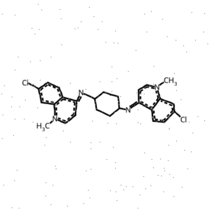 Cn1cc/c(=N\C2CCC(/N=c3\ccn(C)c4cc(Cl)ccc34)CC2)c2ccc(Cl)cc21